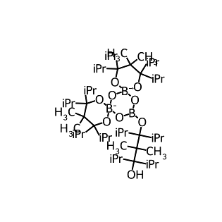 CC(C)C(O)(C(C)C)C(C)(C)C(OB1O[B-]2(O[B-]3(O1)OC(C(C)C)(C(C)C)C(C)(C)C(C(C)C)(C(C)C)O3)OC(C(C)C)(C(C)C)C(C)(C)C(C(C)C)(C(C)C)O2)(C(C)C)C(C)C